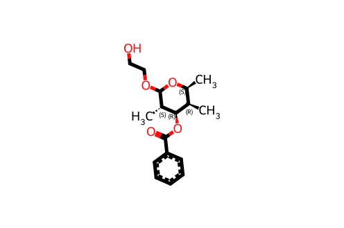 C[C@H]1[C@@H](OC(=O)c2ccccc2)[C@H](C)C(OCCO)O[C@H]1C